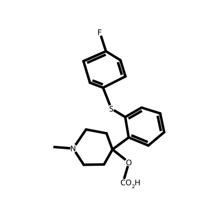 CN1CCC(OC(=O)O)(c2ccccc2Sc2ccc(F)cc2)CC1